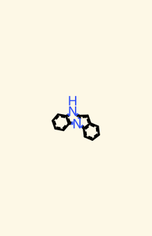 c1ccc2c(c1)cc1[nH]c3ccccc3n12